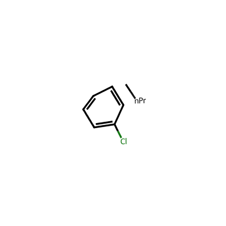 CCCC.Clc1ccccc1